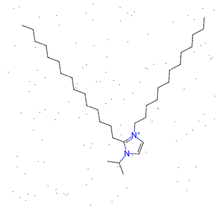 CCCCCCCCCCCCCCCc1n(C(C)C)cc[n+]1CCCCCCCCCCCCC